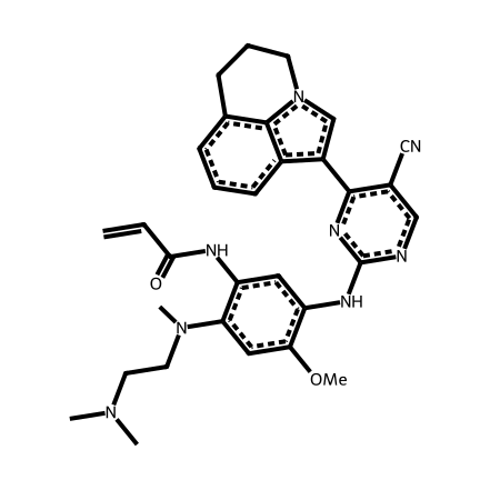 C=CC(=O)Nc1cc(Nc2ncc(C#N)c(-c3cn4c5c(cccc35)CCC4)n2)c(OC)cc1N(C)CCN(C)C